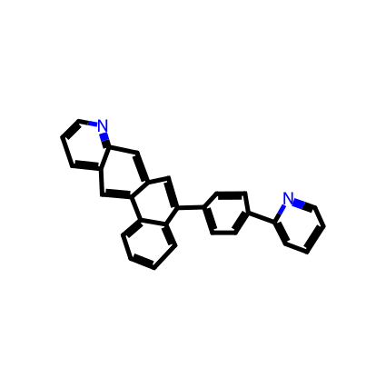 c1ccc(-c2ccc(-c3cc4cc5ncccc5cc4c4ccccc34)cc2)nc1